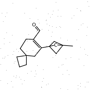 CC12CC(C3=C(C=O)CCC4(CCC4)C3)(C1)C2